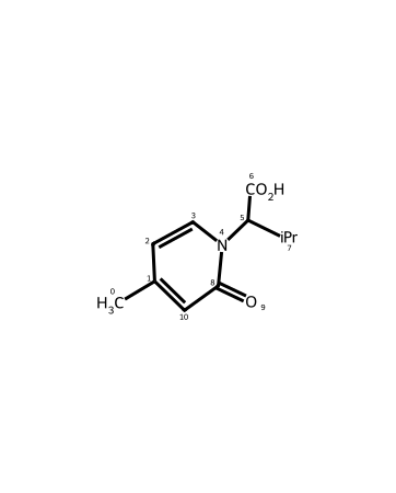 Cc1ccn(C(C(=O)O)C(C)C)c(=O)c1